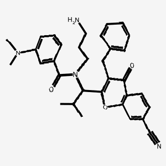 CC(C)C(c1oc2cc(C#N)ccc2c(=O)c1Cc1ccccc1)N(CCCN)C(=O)c1cccc(N(C)C)c1